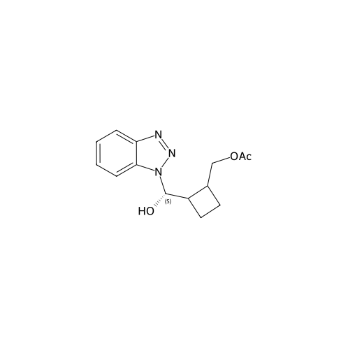 CC(=O)OCC1CCC1[C@H](O)n1nnc2ccccc21